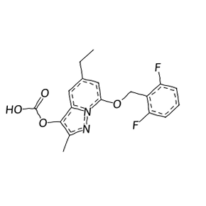 CCc1cc(OCc2c(F)cccc2F)n2nc(C)c(OC(=O)O)c2c1